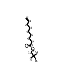 C=CCCCCCCC(=O)OCC(C)(C)C